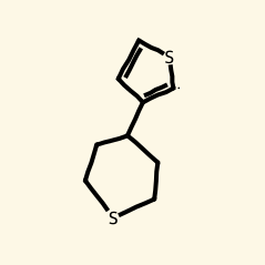 [c]1sccc1C1CCSCC1